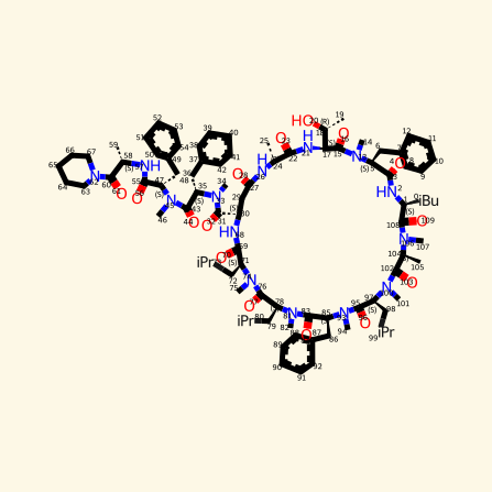 CCC(C)[C@@H]1NC(=O)[C@H](Cc2ccccc2)N(C)C(=O)[C@H]([C@@H](C)O)NC(=O)[C@@H](C)NC(=O)C[C@@H](C(=O)N(C)[C@@H](Cc2ccccc2)C(=O)N(C)[C@@H](Cc2ccccc2)C(=O)N[C@@H](C)C(=O)N2CCCCC2)NC(=O)[C@H](CC(C)C)N(C)C(=O)[C@H](CC(C)C)N(C)C(=O)[C@H](Cc2ccccc2)N(C)C(=O)[C@H](CC(C)C)N(C)C(=O)[C@H](C)N(C)C1=O